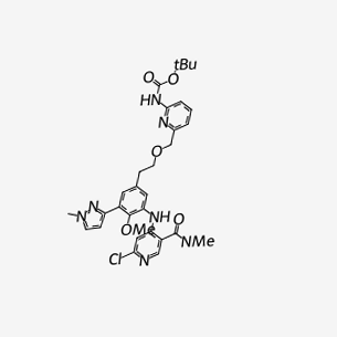 CNC(=O)c1cnc(Cl)cc1Nc1cc(CCOCc2cccc(NC(=O)OC(C)(C)C)n2)cc(-c2ccn(C)n2)c1OC